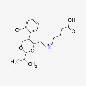 CC(C)C1OCC(c2ccccc2Cl)C(C/C=C\CCCC(=O)O)O1